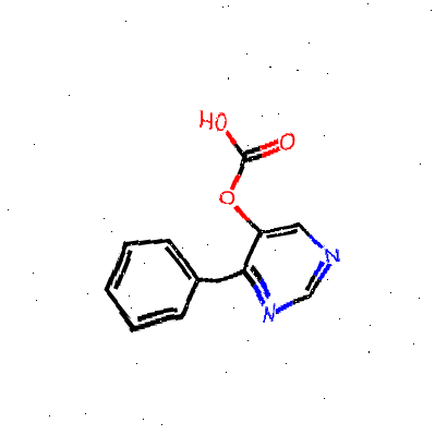 O=C(O)Oc1cncnc1-c1ccccc1